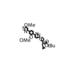 COCOc1cc(-c2cc(OC)ncn2)ccc1-c1ccc(N2CC[C@H](N(CC3CC3)C(=O)OC(C)(C)C)C2)nn1